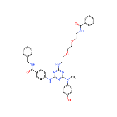 CN(c1ccc(O)cc1)c1nc(NCCOCCOCCNC(=O)c2ccccc2)nc(Nc2ccc(C(=O)NCc3ccccc3)cc2)n1